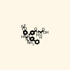 NC/N=C(/Nc1ccc(OC(F)(F)F)cc1)N(Cc1ccc(C(=O)NC[C@@H](O)C(=O)O)cc1)c1ccc(C2CCCCC2)cc1